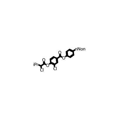 CCCCCCCCCc1ccc(OC(=O)c2ccc(OC(=O)C(Cl)C(C)C)c(Cl)c2)cc1